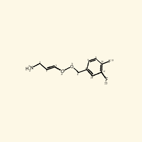 NCC=COOCc1ccc(F)c(F)c1